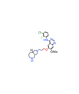 COc1cc2ncnc(Nc3cccc(Cl)c3F)c2cc1OCCCN1CC2CNCCC[C@@H]2C1